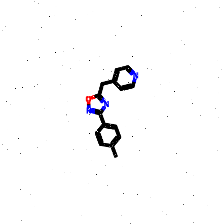 Cc1ccc(-c2noc(Cc3ccncc3)n2)cc1